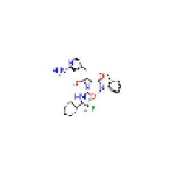 Cc1ccccc1N(C)C(=O)[C@@H]1[C@@H](Cc2ccnc(N)c2)C(=O)N1C(=O)NC(C1CCCCC1)C(F)(F)F